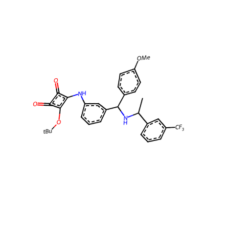 COc1ccc(C(NC(C)c2cccc(C(F)(F)F)c2)c2cccc(Nc3c(OC(C)(C)C)c(=O)c3=O)c2)cc1